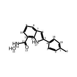 Cc1ccc(-c2cc3cccc(C(=O)NO)c3[nH]2)cc1